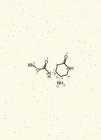 CC(C)(C)OC(=O)N[C@@H]1CC(=O)NC[C@@H]1N